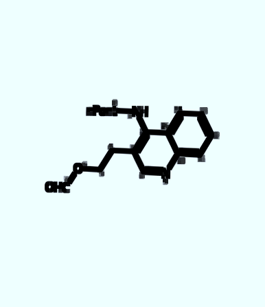 CCCCCNc1c(CCOC=O)cnc2ccccc12